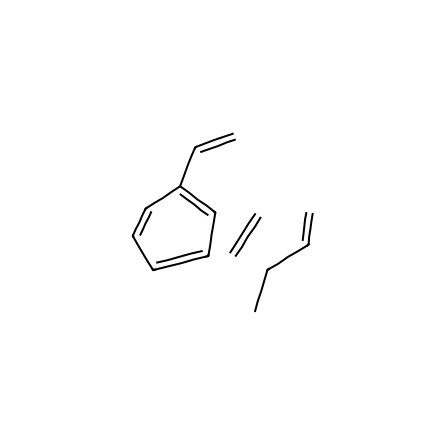 C=C.C=CCC.C=Cc1ccccc1